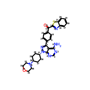 Nc1ncnc2c1c(-c1ccc(C(=O)c3nc4ccccc4s3)cc1)nn2[C@H]1CC[C@H](N2CCOCC2)CC1